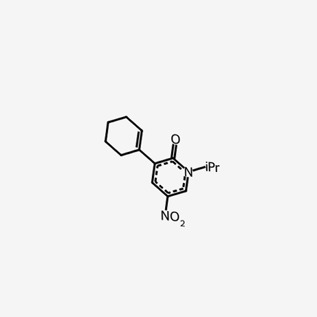 CC(C)n1cc([N+](=O)[O-])cc(C2=CCCCC2)c1=O